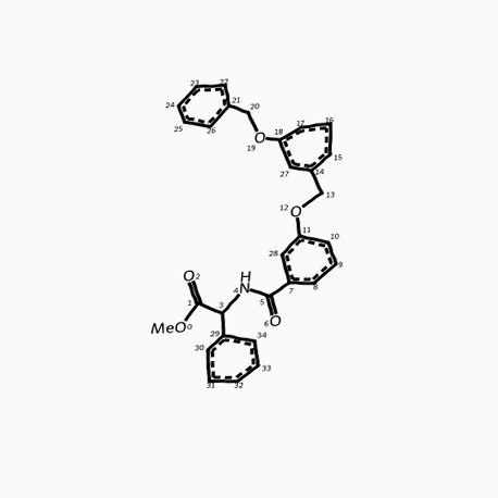 COC(=O)C(NC(=O)c1cccc(OCc2cccc(OCc3ccccc3)c2)c1)c1ccccc1